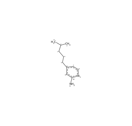 CC(C)CCCc1ccnc(N)c1